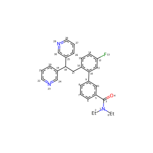 CCN(CC)C(=O)c1cccc(-c2cc(F)ccc2CC(c2cccnc2)c2cccnc2)c1